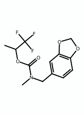 CC(OC(=O)N(C)Cc1ccc2c(c1)OCO2)C(F)(F)F